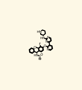 O=[SH](=O)N[C@@H](c1ccccc1)c1ccc(Oc2ncccc2-c2ccnc(N[C@H]3CCCNC3)n2)c(F)c1Cl